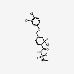 CNS(=O)(=O)NC(=O)C1C=CC(COc2ccc(Cl)c(Cl)c2)=CC1(F)Cl